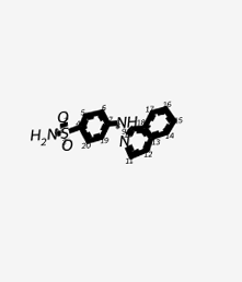 NS(=O)(=O)c1ccc(Nc2nccc3ccccc23)cc1